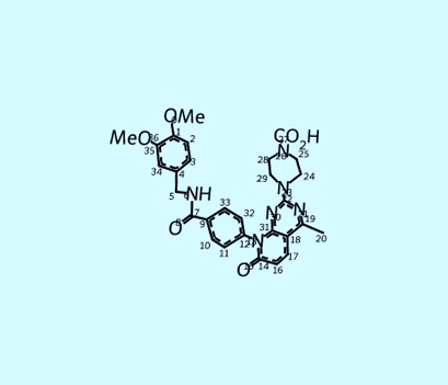 COc1ccc(CNC(=O)c2ccc(-n3c(=O)ccc4c(C)nc(N5CCN(C(=O)O)CC5)nc43)cc2)cc1OC